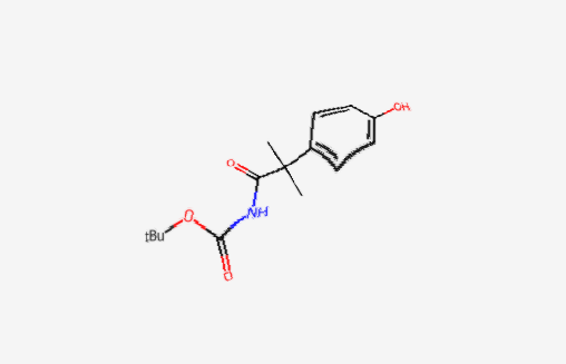 CC(C)(C)OC(=O)NC(=O)C(C)(C)c1ccc(O)cc1